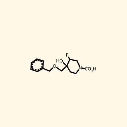 O=C(O)N1CCC(O)(COCc2ccccc2)C(F)C1